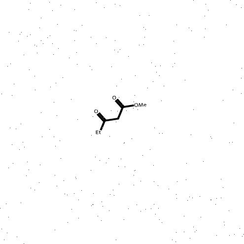 [CH2]CC(=O)CC(=O)OC